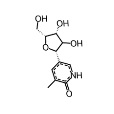 Cc1cc([C@@H]2O[C@H](CO)[C@H](O)C2O)c[nH]c1=O